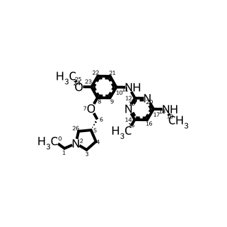 CCN1CC[C@@H](COc2cc(Nc3nc(C)cc(NC)n3)ccc2OC)C1